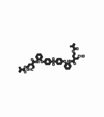 C=C(C)C(=O)OCCC(CC=O)C(=O)Nc1ccccc1Oc1ccc(S(=O)(=O)c2ccc(Oc3ccccc3NC(=O)C(CC=O)CCOC(=O)C(=C)C)cc2)cc1